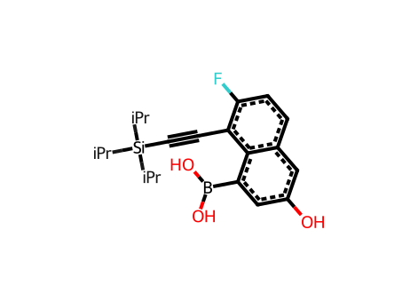 CC(C)[Si](C#Cc1c(F)ccc2cc(O)cc(B(O)O)c12)(C(C)C)C(C)C